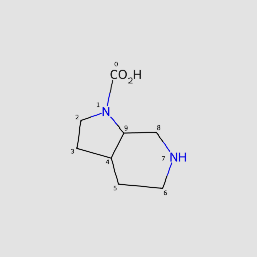 O=C(O)N1CCC2CCNCC21